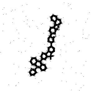 CC1(C)c2ccc(-c3ccc4c(c3)sc3c4ccc4c3sc3ccc5ccccc5c34)cc2-c2ccc(-c3c4ccccc4c(-c4ccccc4)c4ccccc34)cc21